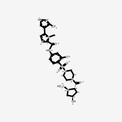 Cn1c(-c2c[nH]nc2C(F)(F)F)cnc1C(=O)Nc1ccc(S(=O)(=O)N2CCN(C(=O)[C@@H]3C[C@@H](O)CN3C(=O)O)CC2)c(Cl)c1